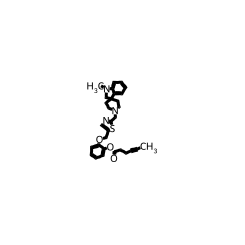 CC#CCCC(=O)Oc1ccccc1OCc1cnc(CN2CCC3(CC2)CN(C)c2ccccc23)s1